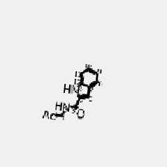 CC(=O)CNC(=O)c1cc2ccccc2[nH]1